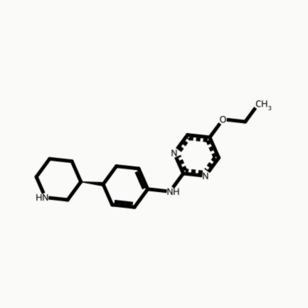 CCOc1cnc(NC2=CCC([C@@H]3CCCNC3)C=C2)nc1